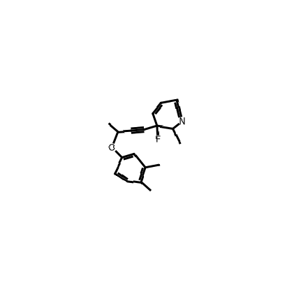 Cc1ccc(OC(C)C#CC2(F)C=CC=NC2C)cc1C